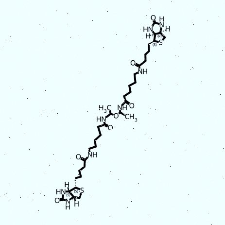 CC(NC(=O)CCCCCNC(=O)CCCC[C@@H]1SC[C@@H]2NC(=O)N[C@@H]21)OC(C)NC(=O)CCCCCNC(=O)CCCC[C@@H]1SC[C@@H]2NC(=O)N[C@@H]21